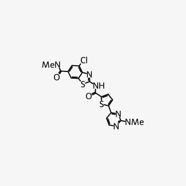 CNC(=O)c1cc(Cl)c2nc(NC(=O)c3ccc(-c4ccnc(NC)n4)s3)sc2c1